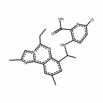 CCc1nc2c(C(C)Nc3ccc(Cl)nc3C(=O)O)cc(C)cc2c2nc(C)cn12